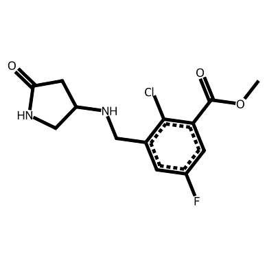 COC(=O)c1cc(F)cc(CNC2CNC(=O)C2)c1Cl